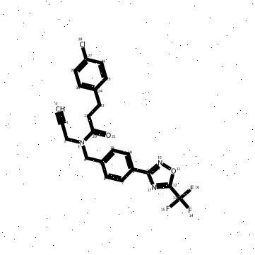 C#CCN(Cc1ccc(-c2noc(C(F)(F)F)n2)cc1)C(=O)CCc1ccc(Cl)cc1